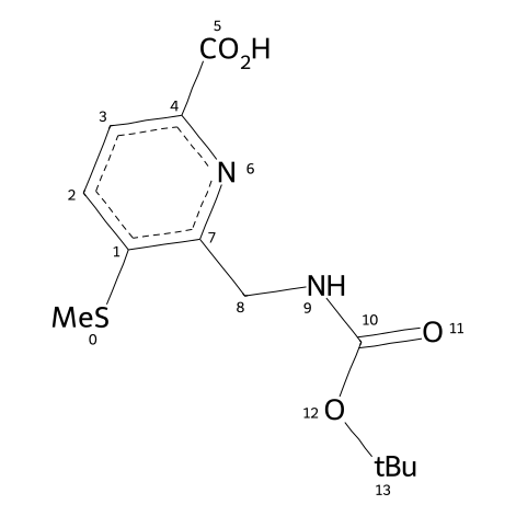 CSc1ccc(C(=O)O)nc1CNC(=O)OC(C)(C)C